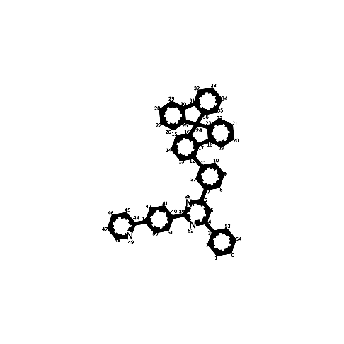 c1ccc(-c2cc(-c3cccc(-c4cccc5c4-c4ccccc4C54c5ccccc5-c5ccccc54)c3)nc(-c3ccc(-c4ccccn4)cc3)n2)cc1